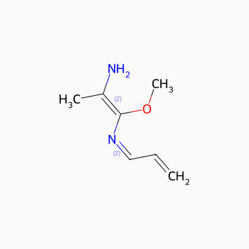 C=C/C=N\C(OC)=C(/C)N